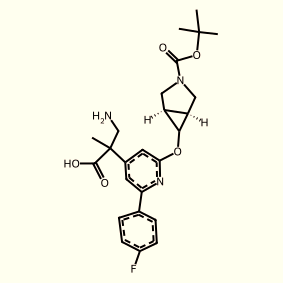 CC(C)(C)OC(=O)N1C[C@@H]2C(Oc3cc(C(C)(CN)C(=O)O)cc(-c4ccc(F)cc4)n3)[C@@H]2C1